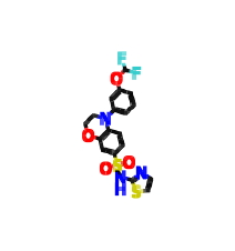 O=S(=O)(Nc1nccs1)c1ccc2c(c1)OCCN2c1cccc(OC(F)F)c1